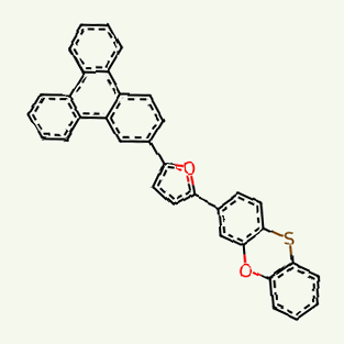 c1ccc2c(c1)Oc1cc(-c3ccc(-c4ccc5c6ccccc6c6ccccc6c5c4)o3)ccc1S2